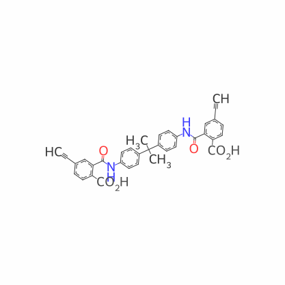 C#Cc1ccc(C(=O)O)c(C(=O)Nc2ccc(C(C)(C)c3ccc(NC(=O)c4cc(C#C)ccc4C(=O)O)cc3)cc2)c1